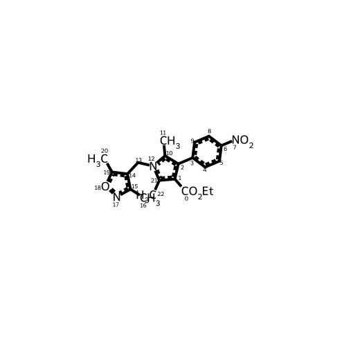 CCOC(=O)c1c(-c2ccc([N+](=O)[O-])cc2)c(C)n(Cc2c(C)noc2C)c1C